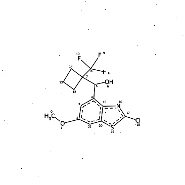 COc1cc(C(O)C2(C(F)(F)F)CCC2)c2nc(Cl)sc2c1